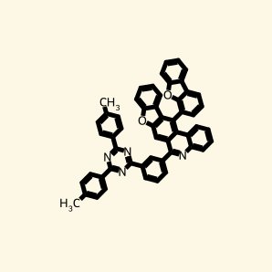 Cc1ccc(-c2nc(-c3ccc(C)cc3)nc(-c3cccc(-c4nc5ccccc5c5c(-c6cccc7c6oc6ccccc67)c6c(cc45)oc4ccccc46)c3)n2)cc1